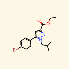 CCOC(=O)c1cc(C2=CC=C(Br)CC2)n(CC(C)C)n1